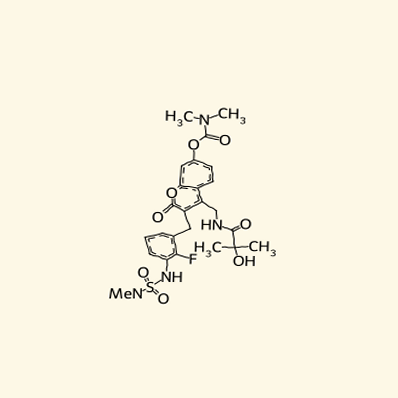 CNS(=O)(=O)Nc1cccc(Cc2c(CNC(=O)C(C)(C)O)c3ccc(OC(=O)N(C)C)cc3oc2=O)c1F